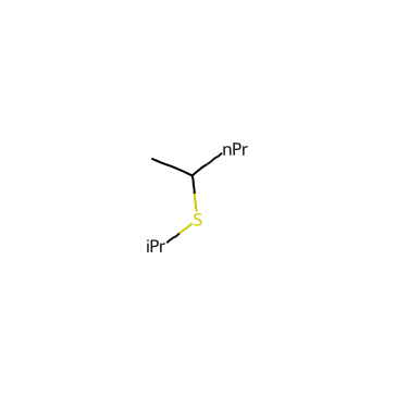 CCCC(C)SC(C)C